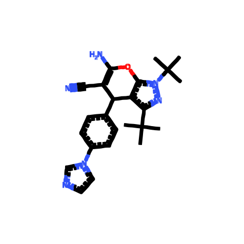 CC(C)(C)c1nn(C(C)(C)C)c2c1C(c1ccc(-n3ccnc3)cc1)C(C#N)=C(N)O2